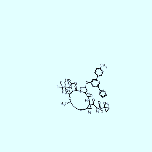 Cc1ccc(-c2cc(O[C@@H]3C[C@H]4C(=O)N[C@]5(C(=O)NS(=O)(=O)C6(C)CC6)C[C@H]5C=CCC[C@@H](C)C[C@@H](C)[C@H](N(C(=O)O)C(C)(C)C(F)(F)F)C(=O)N4C3)cc(-c3nccs3)n2)cc1